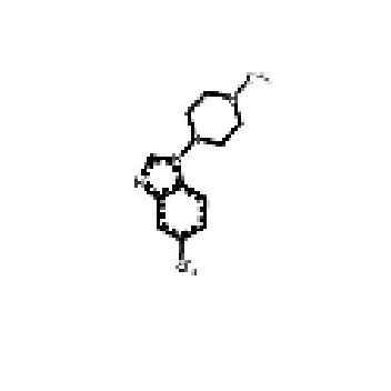 CN1CCN(n2[c]nc3cc(C(F)(F)F)ccc32)CC1